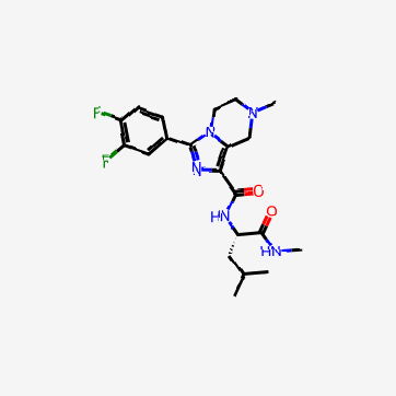 CNC(=O)[C@H](CC(C)C)NC(=O)c1nc(-c2ccc(F)c(F)c2)n2c1CN(C)CC2